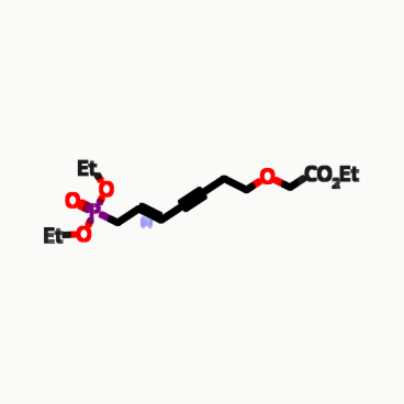 CCOC(=O)COCCC#C/C=C/CP(=O)(OCC)OCC